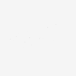 Cc1ccc(OCC(C)(C)C(=O)OC(C)C)cc1